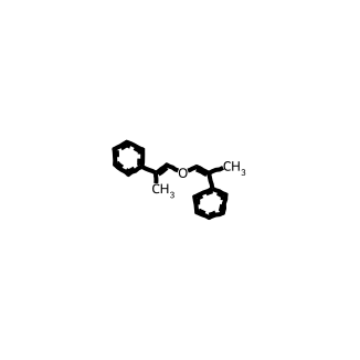 CC(=COC=C(C)c1ccccc1)c1ccccc1